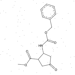 COC(=O)C1CC(=O)CC1NC(=O)OCc1ccccc1